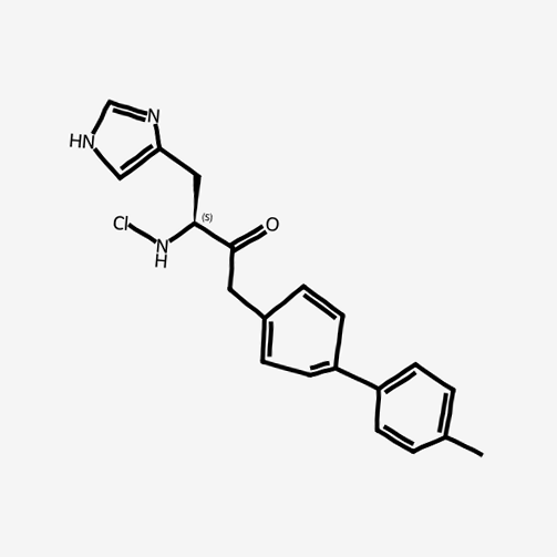 Cc1ccc(-c2ccc(CC(=O)[C@H](Cc3c[nH]cn3)NCl)cc2)cc1